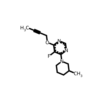 CC#CCOc1ncnc(N2CCCC(C)C2)c1F